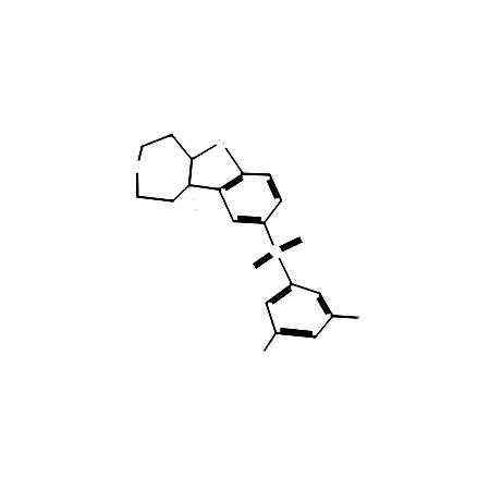 O=S(=O)(c1cc(F)cc(F)c1)c1ccc2c(c1)[C@H]1CCNCCC1N2